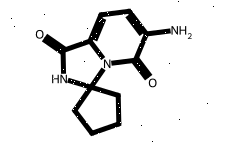 Nc1ccc2n(c1=O)C1(CCCC1)NC2=O